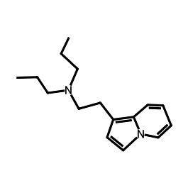 CCCN(CCC)CCc1ccn2ccccc12